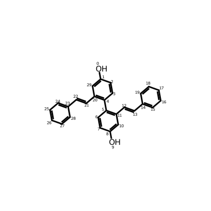 Oc1ccc(-c2ccc(O)cc2C=Cc2ccccc2)c(C=Cc2ccccc2)c1